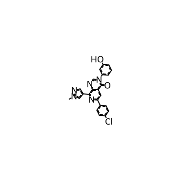 Cn1cc(-c2nc(-c3ccc(Cl)cc3)cc3c(=O)n(-c4cccc(O)c4)cnc23)cn1